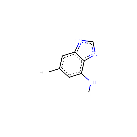 CNc1cc(C)cc2[nH]cnc12